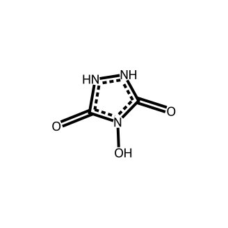 O=c1[nH][nH]c(=O)n1O